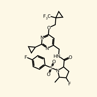 CC1C(F)CC(C(=O)NCc2cc(OCC3(C(F)(F)F)CC3)nc(C3CC3)n2)N1S(=O)(=O)c1ccc(F)cc1